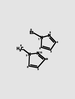 CCn1cccn1.Cn1cccn1